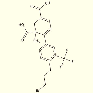 CC1(C(=O)O)CC(C(=O)O)=CC=C1c1ccc(CCCBr)c(C(F)(F)F)c1